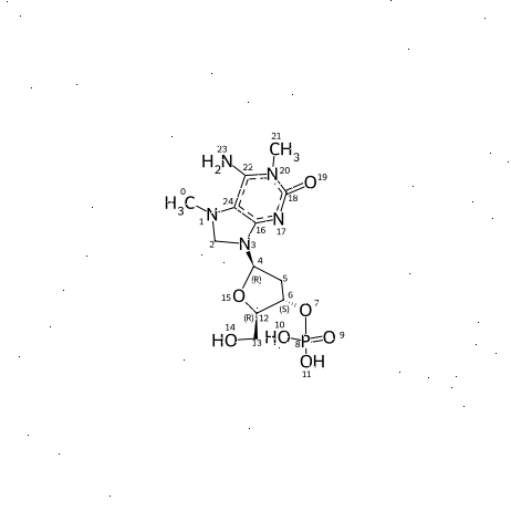 CN1CN([C@H]2C[C@H](OP(=O)(O)O)[C@@H](CO)O2)c2nc(=O)n(C)c(N)c21